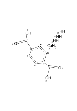 O=C(O)c1ccc(C(=O)O)cc1.[CaH2].[HH].[HH].[HH]